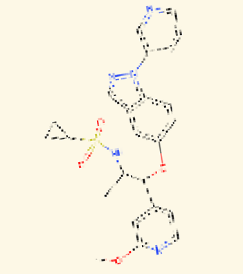 COc1cc(C(Oc2ccc3c(cnn3-c3cccnc3)c2)C(C)NS(=O)(=O)C2CC2)ccn1